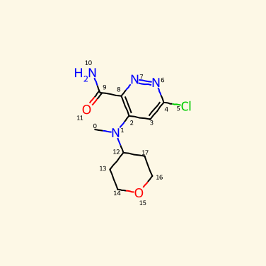 CN(c1cc(Cl)nnc1C(N)=O)C1CCOCC1